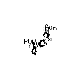 Cc1ccc2c(N)nn(-c3ccnc(N4C[C@@H]5C[C@H]4CN5C(=O)O)c3)c2n1